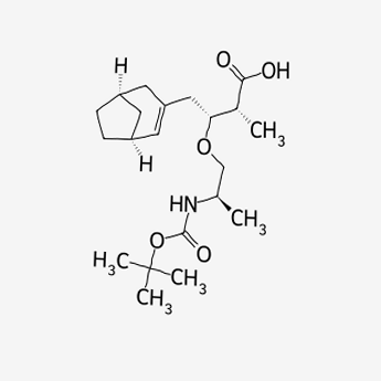 C[C@H](CO[C@H](CC1=C[C@H]2CC[C@@H](C1)C2)[C@@H](C)C(=O)O)NC(=O)OC(C)(C)C